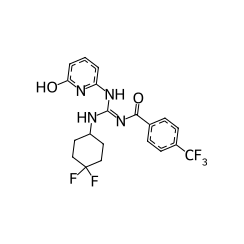 O=C(/N=C(\Nc1cccc(O)n1)NC1CCC(F)(F)CC1)c1ccc(C(F)(F)F)cc1